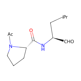 CC(=O)N1CCC[C@H]1C(=O)N[C@H](C=O)CC(C)C